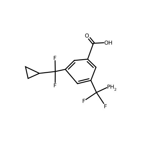 O=C(O)c1cc(C(F)(F)P)cc(C(F)(F)C2CC2)c1